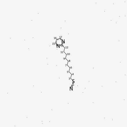 N#CSCCCCCCCCCCc1ncccn1